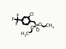 CCOP(=O)(Cc1ccc(C(F)(F)F)cc1Cl)OCC